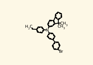 C=Cc1ccc(N(c2ccc(-c3ccc(Br)cc3)cc2)c2ccc3c(c2)C(C)(C)c2ccccc2-3)cc1